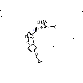 C[C@@H](/C=C/c1cnc(Oc2ccc(OCC3CC3)cc2Cl)s1)NC(=O)CCCl